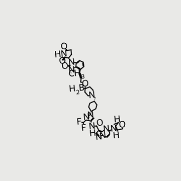 BC1(OCC#Cc2cccc3c2n(C)c(=O)n3C2CCC(=O)NC2=O)CCN(C[C@H]2CC[C@H](n3cc(NC(=O)c4cnn5ccc(N6C[C@H]7C[C@@H]6CO7)nc45)c(C(F)F)n3)CC2)CC1